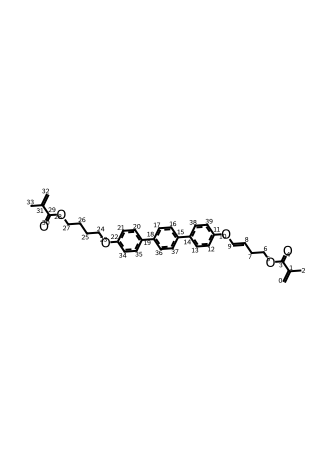 C=C(C)C(=O)OCC/C=C/Oc1ccc(-c2ccc(-c3ccc(OCCCCOC(=O)C(=C)C)cc3)cc2)cc1